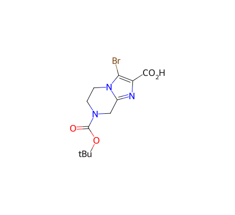 CC(C)(C)OC(=O)N1CCn2c(nc(C(=O)O)c2Br)C1